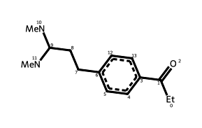 CCC(=O)c1ccc(CCC(NC)NC)cc1